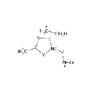 CC(=O)O.CCCCCCCN1CCC(C)C1